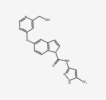 O=C(Nc1cc(C(F)(F)F)[nH]n1)n1ccc2cc(Oc3cc(CO)ncn3)ccc21